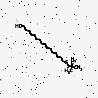 CC(C)(C)SSCCCCCCCCCCCCCCCCO